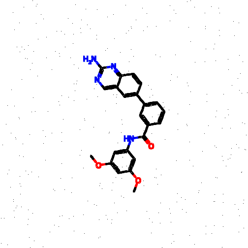 COc1cc(NC(=O)c2cccc(-c3ccc4nc(N)ncc4c3)c2)cc(OC)c1